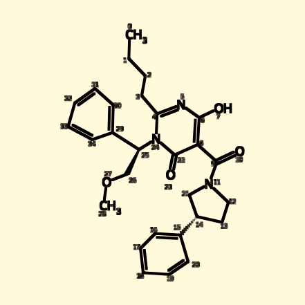 CCCCc1nc(O)c(C(=O)N2CC[C@H](c3ccccc3)C2)c(=O)n1[C@@H](COC)c1ccccc1